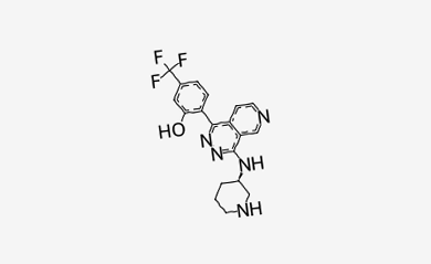 Oc1cc(C(F)(F)F)ccc1-c1nnc(N[C@@H]2CCCNC2)c2cnccc12